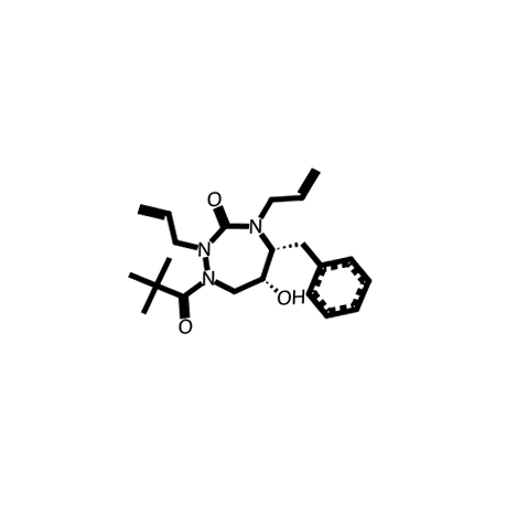 C=CCN1C(=O)N(CC=C)N(C(=O)C(C)(C)C)C[C@@H](O)[C@H]1Cc1ccccc1